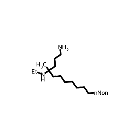 CCCCCCCCCCCCCCCCC(C)(CCCN)NCC